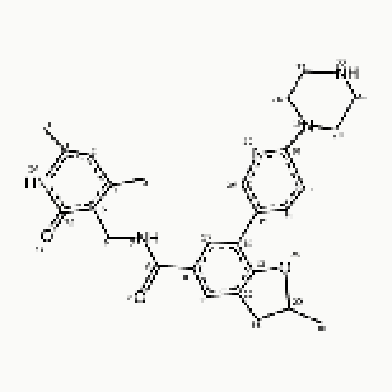 Cc1cc(C)c(CNC(=O)c2cc3c(c(-c4ccc(N5CCNCC5)nc4)c2)OC(C)C3)c(=O)[nH]1